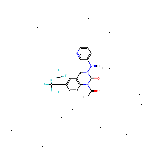 C=[N+](c1cccnc1)N1Cc2cc(C(F)(C(F)(F)F)C(F)(F)F)ccc2N(C(C)=O)C1=O